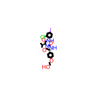 CC(C)[C@@H](C(=O)Nc1ccc(I)cc1Cl)N1C(=O)N[C@H](c2ccc(OCCO)cc2)C1=O